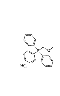 COC[P](c1ccccc1)(c1ccccc1)c1ccccc1.Cl